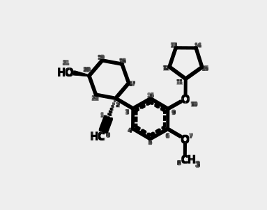 C#C[C@@]1(c2ccc(OC)c(OC3CCCC3)c2)CCC[C@H](O)C1